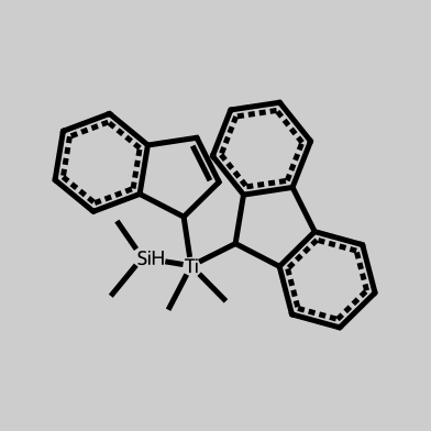 C[SiH](C)[Ti]([CH3])([CH3])([CH]1C=Cc2ccccc21)[CH]1c2ccccc2-c2ccccc21